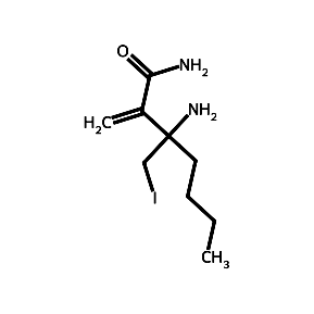 C=C(C(N)=O)C(N)(CI)CCCC